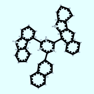 c1ccc2cc(-c3nc(-c4c5ccccc5cc5c4oc4ccccc45)nc(-c4cccc5sc6ccccc6c45)n3)ccc2c1